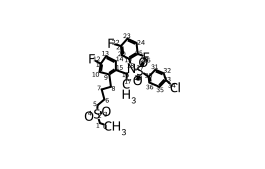 CCS(=O)(=O)CCCCc1cc(F)ccc1C(C)N(c1cc(F)ccc1F)S(=O)(=O)c1ccc(Cl)cc1